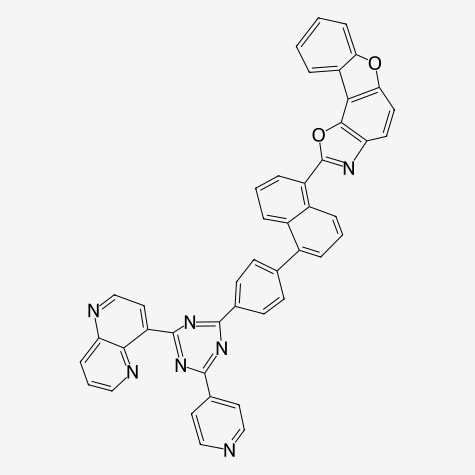 c1cnc2c(-c3nc(-c4ccncc4)nc(-c4ccc(-c5cccc6c(-c7nc8ccc9oc%10ccccc%10c9c8o7)cccc56)cc4)n3)ccnc2c1